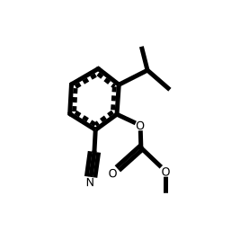 COC(=O)Oc1c(C#N)cccc1C(C)C